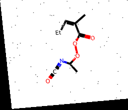 CCC=C(C)C(=O)OOC(C)N=C=O